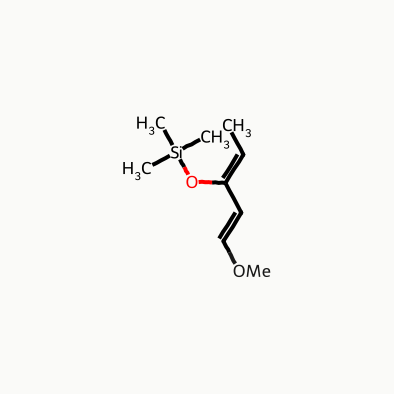 C/C=C(/C=C/OC)O[Si](C)(C)C